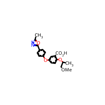 COCC(C)Oc1ccc(Oc2ccc(-c3nnc(C)o3)cc2)cc1C(=O)O